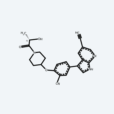 C#Cc1cnc2[nH]cc(-c3ccc(OC4CCN(C(=O)[C@H](C)O)CC4)c(C#N)c3)c2c1